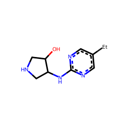 CCc1cnc(NC2CNCC2O)nc1